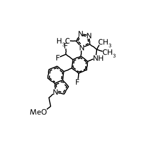 COCCn1ccc2c(-c3c(F)cc4c(c3C(F)F)-n3c(C)nnc3C(C)(C)N4)cccc21